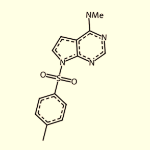 CNc1ncnc2c1ccn2S(=O)(=O)c1ccc(C)cc1